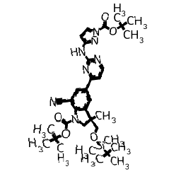 CC(C)(C)OC(=O)N1CC(C)(CO[Si](C)(C)C(C)(C)C)c2cc(-c3ccnc(Nc4ccn(C(=O)OC(C)(C)C)n4)n3)cc(C#N)c21